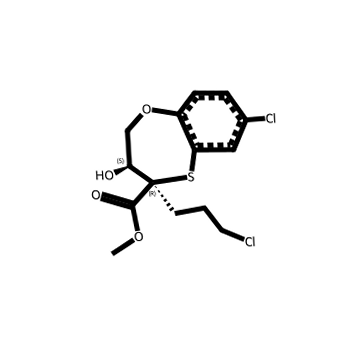 COC(=O)[C@]1(CCCCl)Sc2cc(Cl)ccc2OC[C@@H]1O